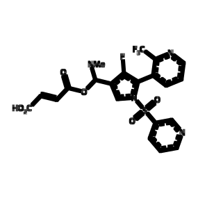 CNC(OC(=O)/C=C/C(=O)O)c1cn(S(=O)(=O)c2cccnc2)c(-c2cccnc2C(F)(F)F)c1F